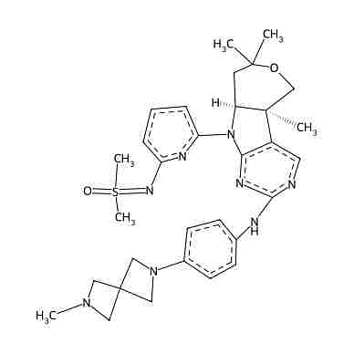 CN1CC2(C1)CN(c1ccc(Nc3ncc4c(n3)N(c3cccc(N=S(C)(C)=O)n3)[C@H]3CC(C)(C)OC[C@@]43C)cc1)C2